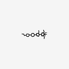 CCCC1CCC(C2CCC(c3ccc(-c4cc(CC)c(F)c(CC)c4)c(CC)c3)CC2)CC1